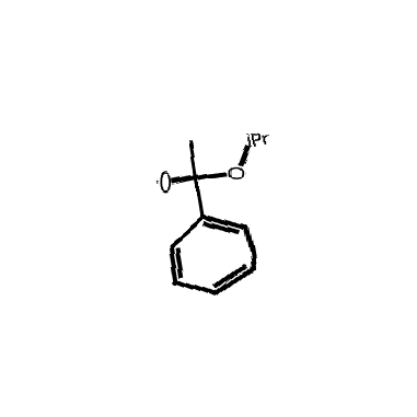 CC(C)OC(C)([O])c1ccccc1